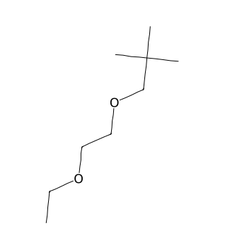 CCOCCOCC(C)(C)C